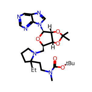 CCC1(CCN(C)C(=O)OC(C)(C)C)CCCN1C[C@H]1O[C@@H](n2cnc3cncnc32)[C@@H]2OC(C)(C)O[C@@H]21